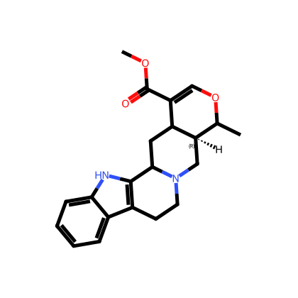 COC(=O)C1=COC(C)[C@H]2CN3CCc4c([nH]c5ccccc45)C3CC12